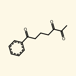 CC(=O)C(=O)CCCC(=O)c1ccccc1